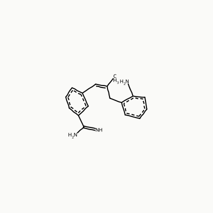 CC(=Cc1cccc(C(=N)N)c1)Cc1ccccc1N